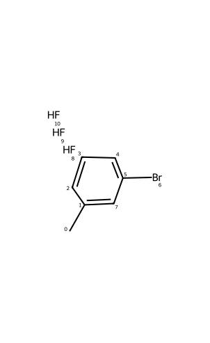 Cc1cccc(Br)c1.F.F.F